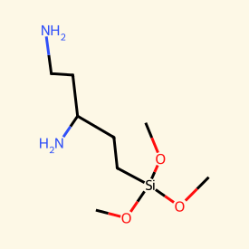 CO[Si](CCC(N)CCN)(OC)OC